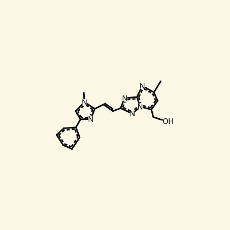 Cc1cc(CO)n2nc(C=Cc3nc(-c4ccccc4)cn3C)nc2n1